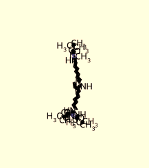 C/C(=N\C(=O)OC(C)(C)C)NCCCCCCCN1CCN(CCCCCCCN/C(=N\C(=O)OC(C)(C)C)NC(=O)OC(C)(C)C)C1=N